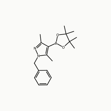 Cc1nn(Cc2ccccc2)c(C)c1B1OC(C)(C)C(C)(C)O1